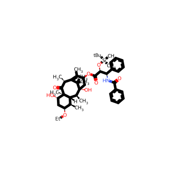 CCO[C@@H]1C[C@H](O)[C@@]2(C)C(=O)[C@H](C)C3=C(C)[C@@H](OC(=O)[C@H](O[Si](C)(C)C(C)(C)C)[C@@H](NC(=O)c4ccccc4)c4ccccc4)C[C@@](O)([C@@H](C)[C@@H]2[C@H]1C)C3(C)C